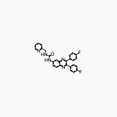 O=C(NCc1ccccn1)Nc1ccc2nc(-c3ccc(F)cc3)c(-c3ccc(F)cc3)nc2c1